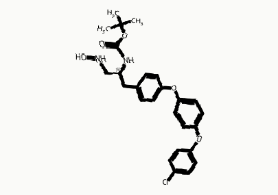 CC(C)(C)OC(=O)N[C@H](CNO)Cc1ccc(Oc2ccc(Oc3ccc(Cl)cc3)cc2)cc1